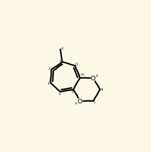 CC1=C=CC=C2OCCOC2=C1